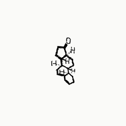 O=C1CC[C@H]2[C@@H]3CC=C4C=CCC[C@@H]4[C@H]3CC[C@H]12